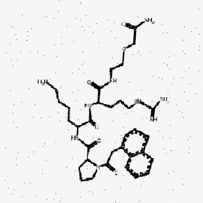 N=C(N)NCCCC(NC(=O)C(CCCCN)NC(=O)[C@@H]1CCCN1C(=O)Cc1cccc2ccccc12)C(=O)NCCOCC(N)=O